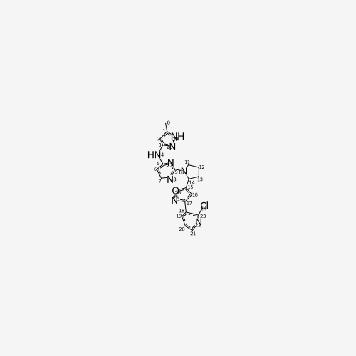 Cc1cc(Nc2ccnc(N3CCCC3c3cc(-c4cccnc4Cl)no3)n2)n[nH]1